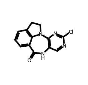 O=C1Nc2cnc(Cl)nc2N2CCc3cccc1c32